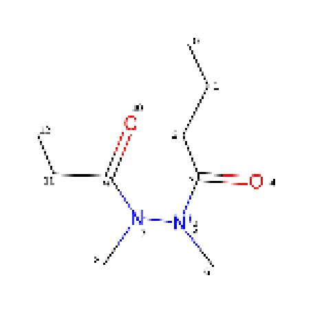 CCCC(=O)[N+](C)N(C)C(=O)CC